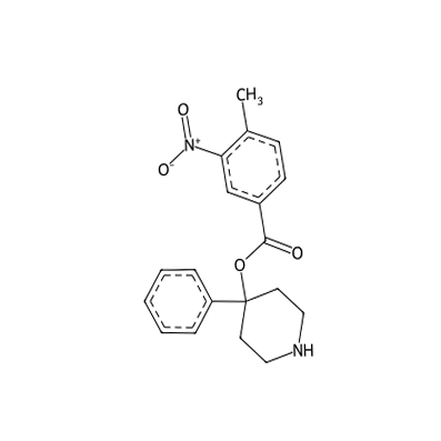 Cc1ccc(C(=O)OC2(c3ccccc3)CCNCC2)cc1[N+](=O)[O-]